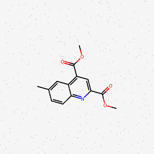 COC(=O)c1cc(C(=O)OC)c2cc(C)ccc2n1